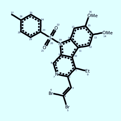 CCc1c(C=C(Br)Br)ncc2c1c1cc(OC)c(OC)cc1n2S(=O)(=O)c1ccc(C)cc1